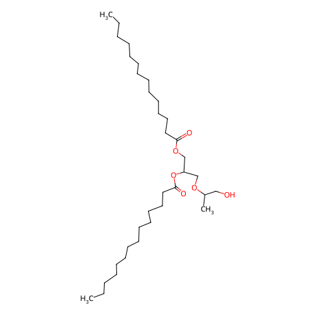 CCCCCCCCCCCCCC(=O)OCC(COC(C)CO)OC(=O)CCCCCCCCCCCCC